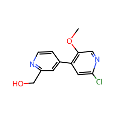 COc1cnc(Cl)cc1-c1ccnc(CO)c1